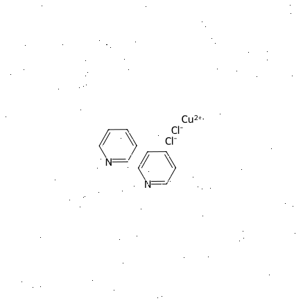 [Cl-].[Cl-].[Cu+2].c1ccncc1.c1ccncc1